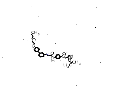 CCCCOCCOc1ccc(-c2cccc(/C=C/C(=O)Nc3ccc([S+]([O-])Cc4cncn4CC(C)C)cc3)c2)cc1